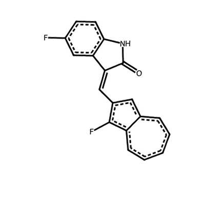 O=C1Nc2ccc(F)cc2C1=Cc1cc2cccccc-2c1F